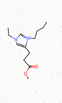 CCCC[n+]1cn(CC)cc1CCC(=O)OC